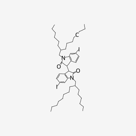 CCCCCCCCC(CCCCCC)CN1C(=O)C(C2C(=O)N(CC(CCCCCC)CCCCCCCC)c3cc(I)ccc32)c2ccc(I)cc21